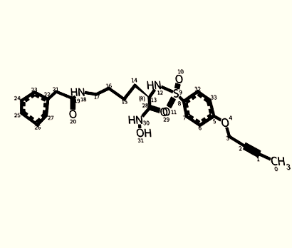 CC#CCOc1ccc(S(=O)(=O)N[C@H](CCCCNC(=O)Cc2ccccc2)C(=O)NO)cc1